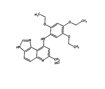 CCOc1cc(OCC)c(OCC)cc1Nc1cc(C)nc2ccc3[nH]cnc3c12.Cl